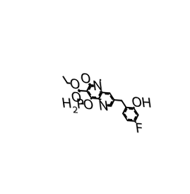 CCOC(=O)c1c(OP)c2ncc(Cc3ccc(F)cc3O)cc2n(C)c1=O